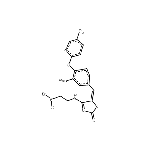 CCN(CC)CCNC1=NC(=O)SC1=Cc1ccc(Oc2ccc(C(F)(F)F)cn2)c(OC)c1